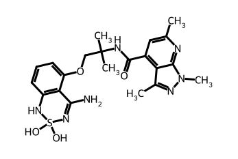 Cc1cc(C(=O)NC(C)(C)COc2cccc3c2C(N)=NS(O)(O)N3)c2c(C)nn(C)c2n1